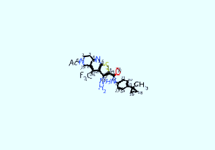 CC(=O)N1CCc2nc3sc(C(=O)Nc4ccc(C5(C)CC5)cc4)c(N)c3c(C(F)(F)F)c2C1